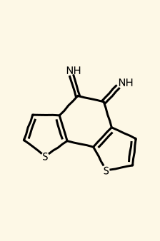 N=C1C(=N)c2ccsc2-c2sccc21